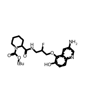 CC(C)(C)OC(=O)N1CCCCC1C(=O)NCC(F)COc1c(O)ccc2ncc(N)cc12